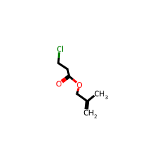 C=C(C)COC(=O)CCCl